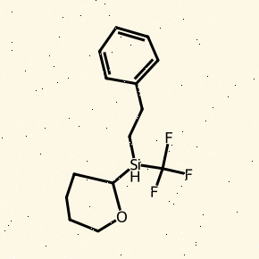 FC(F)(F)[SiH](CCc1ccccc1)C1CCCCO1